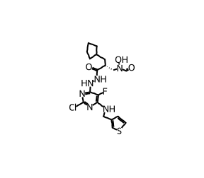 O=CN(O)C[C@@H](CC1CCCC1)C(=O)NNc1nc(Cl)nc(NCc2ccsc2)c1F